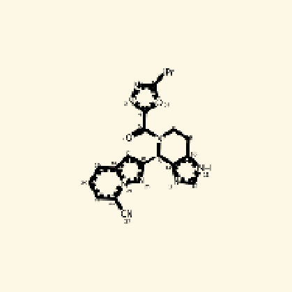 CC(C)c1nnc(C(=O)N2CCc3[nH]cnc3[C@H]2c2cc3cccc(C#N)n3n2)o1